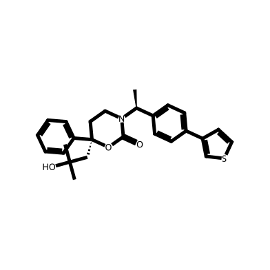 C[C@@H](c1ccc(-c2ccsc2)cc1)N1CC[C@](CC(C)(C)O)(c2ccccc2)OC1=O